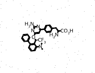 CN(C)c1cccc(-c2ccccc2)c1[C@@H](Oc1cc(-c2ccc(CC(N)C(=O)O)cc2)nc(N)n1)C(F)(F)F